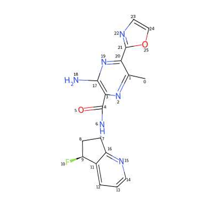 Cc1nc(C(=O)N[C@H]2C[C@H](F)c3cccnc32)c(N)nc1-c1ncco1